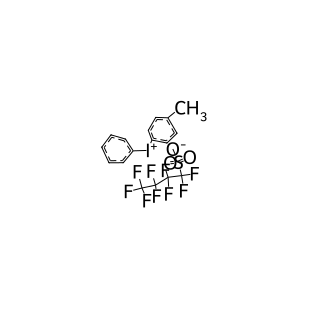 Cc1ccc([I+]c2ccccc2)cc1.O=S(=O)([O-])C(F)(F)C(F)(F)C(F)(F)C(F)(F)F